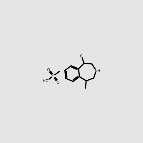 CC1CNCC(Cl)c2ccccc21.CS(=O)(=O)O